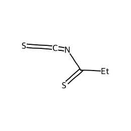 CCC(=S)N=C=S